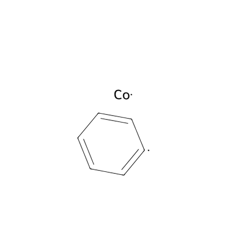 [Co].[c]1ccccc1